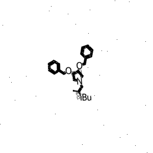 CC[C@H](C)[C@@H](C)CN1C[C@H](OCc2ccccc2)[C@@H](OCc2ccccc2)C1